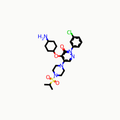 CC(C)S(=O)(=O)N1CCN(c2cnn(-c3cccc(Cl)c3)c(=O)c2OC2CCC(N)CC2)CC1